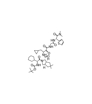 CN(C)C(=O)[C@@H](NC(=O)CNC(=O)C(=O)C(CC1CC1)NC(=O)[C@@H]1[C@H]2CC(C)(C)C[C@H]2CN1C(=O)[C@@H](NC(=O)OC(C)(C)C)C1CCCCC1)c1cccs1